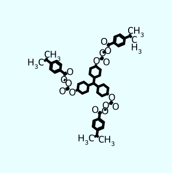 CC(C)c1ccc(C(=O)OOC(=O)OC2CCC(C(C3CCC(OC(=O)OOC(=O)c4ccc(C(C)C)cc4)CC3)C3CCC(OC(=O)OOC(=O)c4ccc(C(C)C)cc4)CC3)CC2)cc1